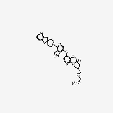 COCOC[C@H]1C[C@H]2COc3c(Sc4cnc(N5CCC6(CC5)Cc5cccnc5C6)c(CO)n4)ccnc3N2C1